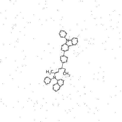 C=C/C(=C\C=C(/C)N(c1ccccc1)c1cccc2ccccc12)c1ccc(-c2ccc3c(c2)c2ccccc2n3-c2ccccc2)cc1